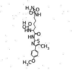 COc1ccc(-c2nc(NC(=O)C(CCCCNS(N)(=O)=O)NC(=O)O)sc2C)cc1